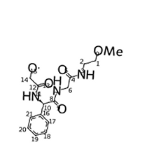 COCCNC(=O)CNC(=O)[C@H](NC(=O)C[O])c1ccccc1